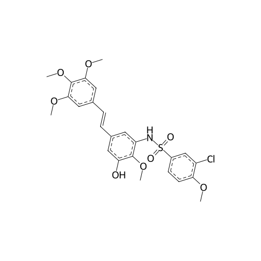 COc1ccc(S(=O)(=O)Nc2cc(C=Cc3cc(OC)c(OC)c(OC)c3)cc(O)c2OC)cc1Cl